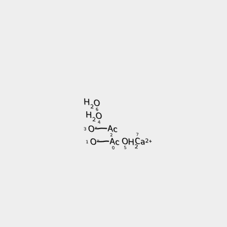 CC(=O)[O-].CC(=O)[O-].O.O.O.[Ca+2]